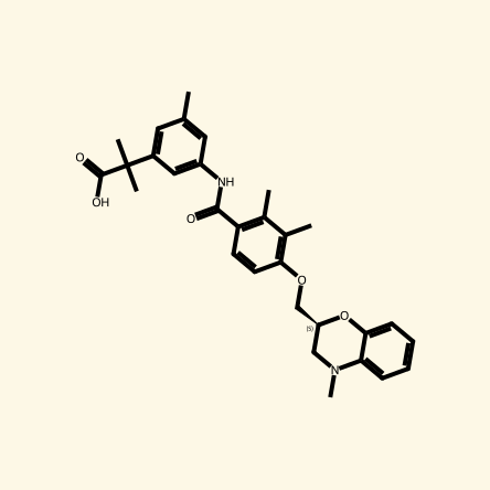 Cc1cc(NC(=O)c2ccc(OC[C@@H]3CN(C)c4ccccc4O3)c(C)c2C)cc(C(C)(C)C(=O)O)c1